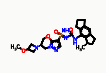 COC1CN([C@@H]2COc3c([S@@](N)(=O)=NC(=O)Nc4c5c(cc6c4[C@H](C)CC6)CCC5)cnn3C2)C1